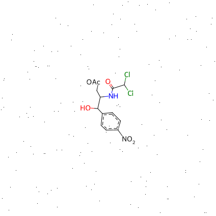 [CH2]C(=O)OCC(NC(=O)C(Cl)Cl)C(O)c1ccc([N+](=O)[O-])cc1